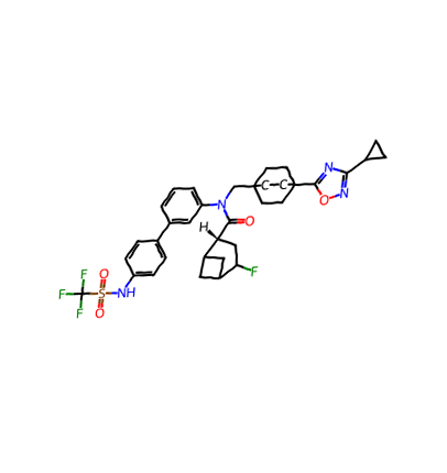 O=C([C@@H]1CC(F)C2CC1C2)N(CC12CCC(c3nc(C4CC4)no3)(CC1)CC2)c1cccc(-c2ccc(NS(=O)(=O)C(F)(F)F)cc2)c1